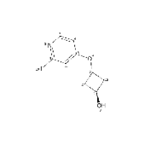 O[C@H]1C[C@H](Oc2ccnc(F)c2)C1